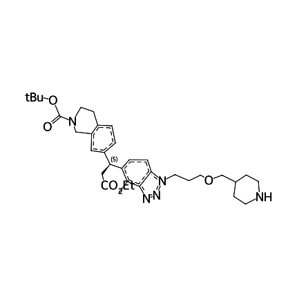 CCOC(=O)C[C@@H](c1ccc2c(c1)CN(C(=O)OC(C)(C)C)CC2)c1ccc2c(nnn2CCCOCC2CCNCC2)c1C